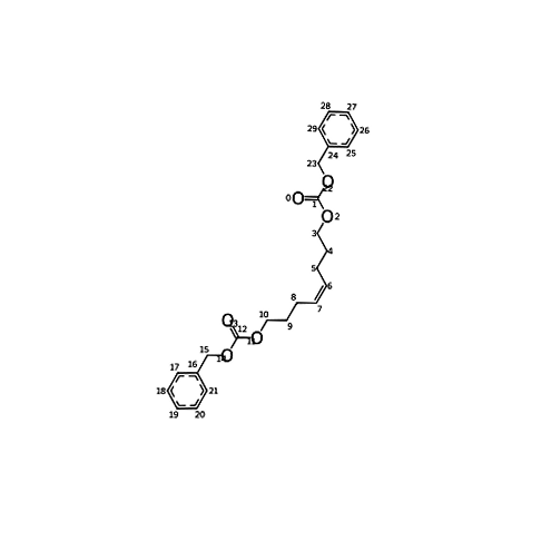 O=C(OCCC/C=C\CCCOC(=O)OCc1ccccc1)OCc1ccccc1